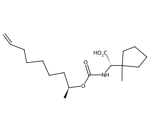 C=CCCCCC[C@H](C)OC(=O)N[C@H](C(=O)O)C1(C)CCCC1